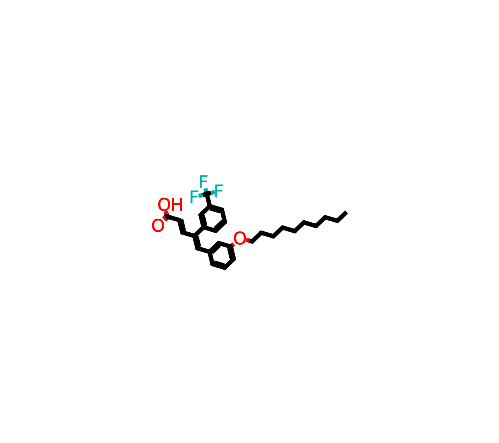 CCCCCCCCCCOc1cccc(/C=C(/C=C/C(=O)O)c2cccc(C(F)(F)F)c2)c1